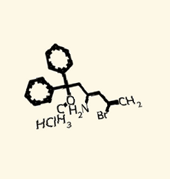 C=C(Br)CC(N)CC(OC)(c1ccccc1)c1ccccc1.Cl